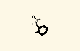 O=[N+]([O-])Nc1ccccc1F